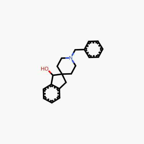 OC1c2ccccc2CC12CCN(Cc1ccccc1)CC2